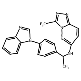 CC(Nc1ccc2nnc(C(F)(F)F)n2n1)c1ccc(-n2cnc3ccccc32)cc1